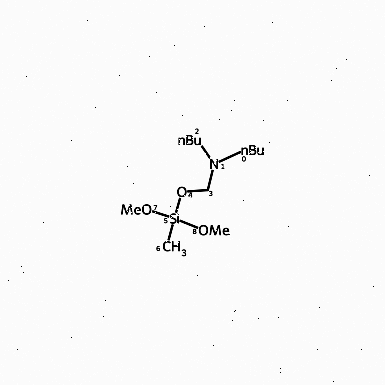 CCCCN(CCCC)CO[Si](C)(OC)OC